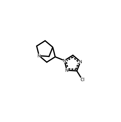 Clc1ncn(C2CN3CCC2C3)n1